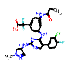 C=CC(=O)Nc1cc(Nc2nc(Nc3cnn(C)c3)ncc2-c2ccc(F)c(Cl)c2)cc(C(F)(F)C(=O)O)c1